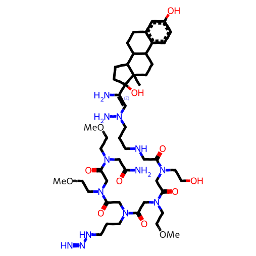 COCCN(CC(N)=O)C(=O)CN(CCOC)C(=O)CN(CCCNN=N)C(=O)CN(CCOC)C(=O)CN(CCO)C(=O)CNCCCN(N)/C=C(\N)C1(O)CCC2C3CCc4cc(O)ccc4C3CCC21C